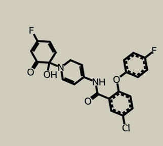 O=C(NC1=CCN(C2(O)C=CC(F)=CC2=O)C=C1)c1cc(Cl)ccc1Oc1ccc(F)cc1